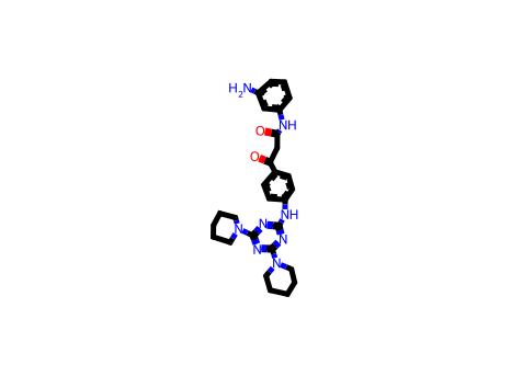 Nc1cccc(NC(=O)CC(=O)c2ccc(Nc3nc(N4CCCCC4)nc(N4CCCCC4)n3)cc2)c1